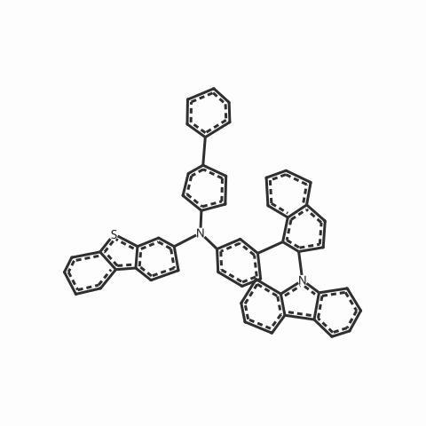 c1ccc(-c2ccc(N(c3cccc(-c4c(-n5c6ccccc6c6ccccc65)ccc5ccccc45)c3)c3ccc4c(c3)sc3ccccc34)cc2)cc1